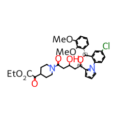 CCOC(=O)C(=O)C1CCN(C(=O)CC(O)C[C@H]2O[C@H](c3cccc(OC)c3OC)c3cc(Cl)ccc3-n3cccc32)CC1